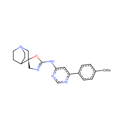 COc1ccc(-c2cc(NC3=NC[C@@]4(CN5CCC4CC5)O3)ncn2)cc1